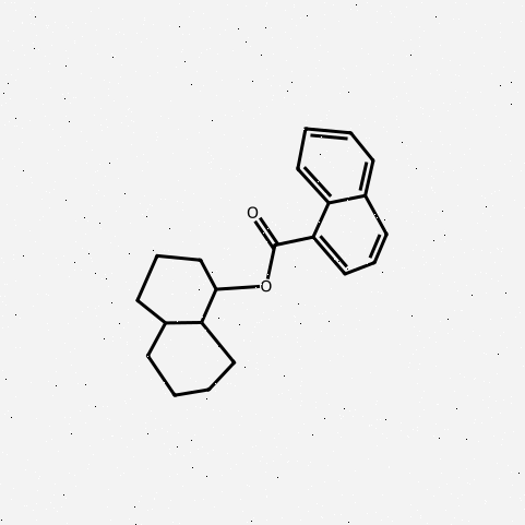 O=C(OC1CCCC2CCCCC21)c1cccc2ccccc12